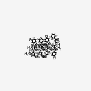 CC(C)(C(=O)Nc1nc(-c2ccccc2)no1)S(=O)(=O)c1ccc(Cl)cc1.CC(C)(C(=O)Nc1ncc(C#N)s1)S(=O)(=O)c1ccc(Cl)cc1.CC(C)(C)c1cc(NC(=O)C(C)(C)S(=O)(=O)c2cccc(F)c2)no1.Cn1nc(C(C)(C)C)cc1NC(=O)C(C)(C)S(=O)(=O)c1cccc(F)c1